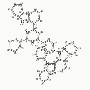 c1ccc(-c2nc(-c3ccc(-n4c5ccccc5c5ccc6c7ccccc7n(-c7ccccc7)c6c54)cc3)nc(-c3cccc4c3oc3ccccc34)n2)cc1